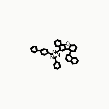 c1ccc(-c2ccc(-c3nc(-c4ccccc4)nc(-c4cc5c(oc6cccc(-c7cccc8ccccc78)c65)c5ccccc45)n3)cc2)cc1